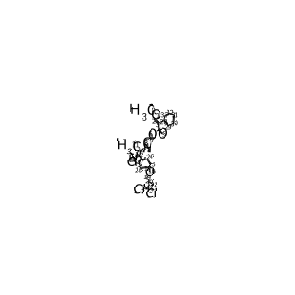 COC=C(C(=O)OCON=C(C)c1noc2cc(OCC3CC3(Cl)Cl)ccc12)c1ccccc1